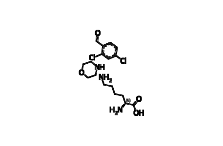 C1COCCN1.NCCCC[C@H](N)C(=O)O.O=Cc1ccc(Cl)cc1Cl